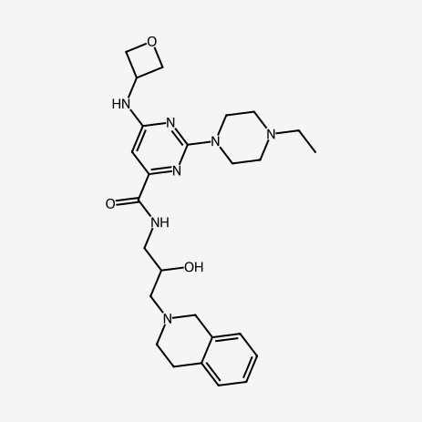 CCN1CCN(c2nc(NC3COC3)cc(C(=O)NCC(O)CN3CCc4ccccc4C3)n2)CC1